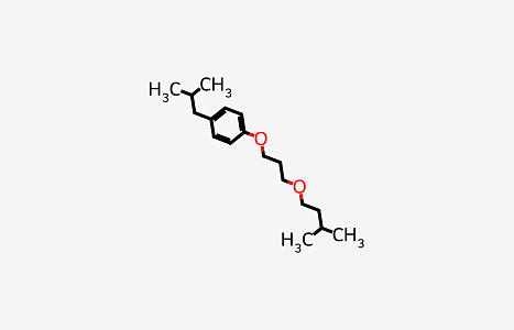 CC(C)CCOCCCOc1ccc(CC(C)C)cc1